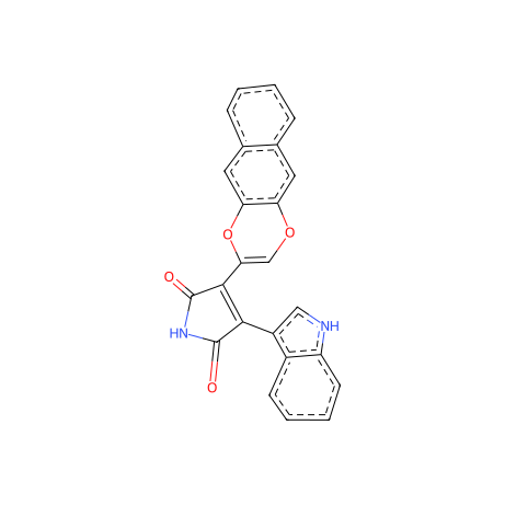 O=C1NC(=O)C(c2c[nH]c3ccccc23)=C1C1=COc2cc3ccccc3cc2O1